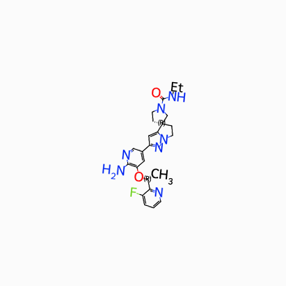 CCNC(=O)N1CC[C@@]2(CCn3nc(-c4cnc(N)c(O[C@H](C)c5ncccc5F)c4)cc32)C1